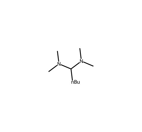 CCCCC(N(C)C)N(C)C